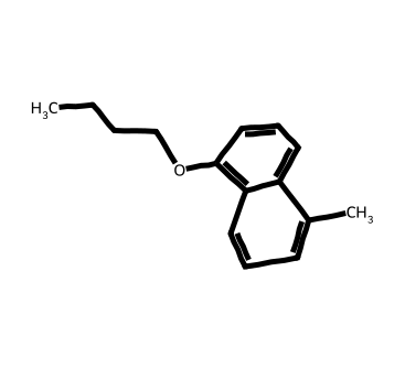 CCCCOc1cccc2c(C)cccc12